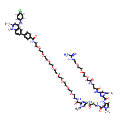 CC(=O)N1c2ccc(-c3ccc(C(=O)NCCOCCOCCOCCOCCOCCOCCOCCOCCNC(=O)c4nc(NC(=O)CCNC(=O)c5c(NC(=O)c6nc(NC(=O)CCNC(=O)COCCOCCOCCNC(=N)N)cn6C)ccn5C)cn4C)cc3)cc2[C@H](Nc2ccc(Cl)cc2)C[C@@H]1C